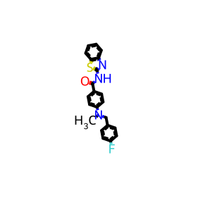 CN(Cc1ccc(F)cc1)c1ccc(C(=O)Nc2nc3ccccc3s2)cc1